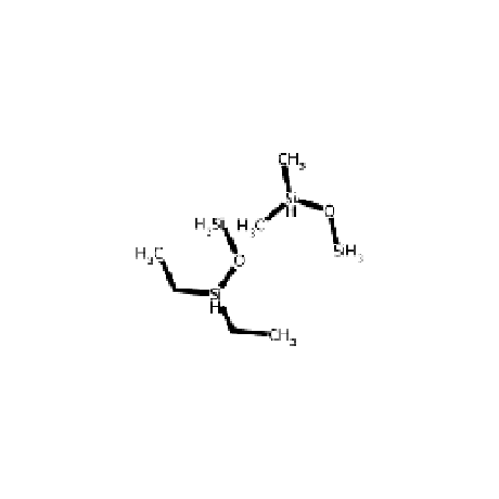 CC[SiH](CC)O[SiH3].C[SiH](C)O[SiH3]